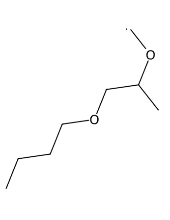 [CH2]OC(C)COCCCC